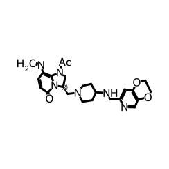 C=Nc1ccc(=O)n2c1N(C(C)=O)C[C@H]2CN1CCC(NCc2cc3c(cn2)OCCO3)CC1